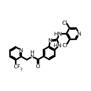 O=C(NCc1ncccc1C(F)(F)F)c1ccc2[nH]c(Nc3c(Cl)cncc3Cl)nc2c1